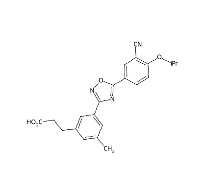 Cc1cc(CCC(=O)O)cc(-c2noc(-c3ccc(OC(C)C)c(C#N)c3)n2)c1